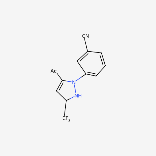 CC(=O)C1=CC(C(F)(F)F)NN1c1cccc(C#N)c1